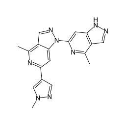 Cc1nc(-n2ncc3c(C)nc(-c4cnn(C)c4)cc32)cc2[nH]ncc12